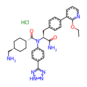 CCOc1ncccc1-c1ccc(C[C@@H](C(N)=O)N(c2ccc(-c3nn[nH]n3)cc2)C(=O)[C@H]2CC[C@H](CN)CC2)cc1.Cl